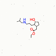 CCOC(=O)CC1CCC(O)C1CCCNCC(C)C